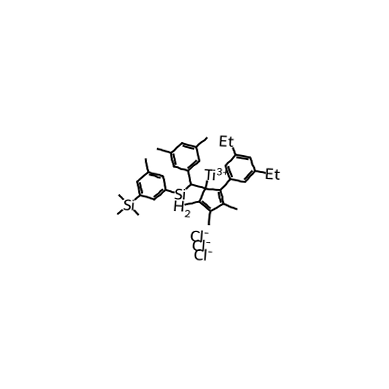 CCc1cc(CC)cc(C2=C(C)C(C)=C(C)[C]2([Ti+3])C([SiH2]c2cc(C)cc([Si](C)(C)C)c2)c2cc(C)cc(C)c2)c1.[Cl-].[Cl-].[Cl-]